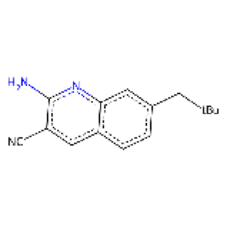 CC(C)(C)Cc1ccc2cc(C#N)c(N)nc2c1